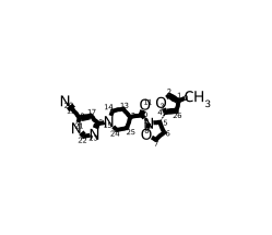 Cc1coc([C@@H]2CCON2C(=O)C2CCN(c3cc(C#N)ncn3)CC2)c1